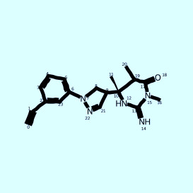 C#Cc1cccc(N2CC([C@@]3(C)NC(=N)N(C)C(=O)C3C)C=N2)c1